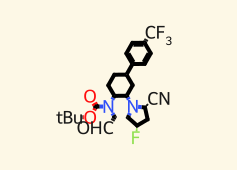 CC(C)(C)OC(=O)N(CC=O)C1CCC(c2ccc(C(F)(F)F)cc2)CC1N1C[C@@H](F)C[C@H]1C#N